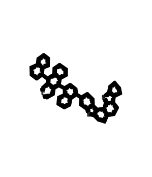 c1ccc2c(-c3c4ccccc4c(-c4ccc(-c5ccc6c(c5)sc5ccc7ccc8c9ccccc9sc8c7c56)c5ccccc45)c4ccccc34)cccc2c1